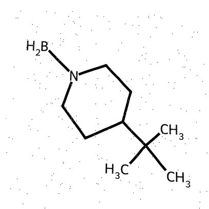 BN1CCC(C(C)(C)C)CC1